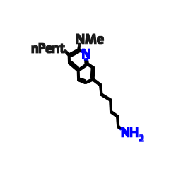 CCCCCc1cc2ccc(CCCCCCN)cc2nc1NC